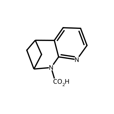 O=C(O)N1c2ncccc2C2CC1C2